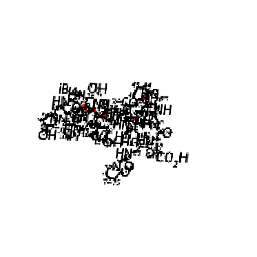 CC[C@H](C)[C@H](NC(=O)[C@H](CO)NC(=O)[C@H](Cc1ccc(O)cc1)NC(=O)[C@H](CC(=O)O)NC(=O)[C@H](CO)NC(=O)[C@@H](NC(=O)[C@H](Cc1ccccc1)NC(=O)[C@@H](NC(=O)CNC(=O)[C@H](CCC(=O)O)NC(=O)CCNC(=O)CN1CCCCC1=O)[C@@H](C)O)[C@@H](C)O)C(=O)N[C@@H](Cc1ccc(O)cc1)C(=O)N[C@@H](CC(C)C)C(=O)N[C@@H](CC(=O)O)C(=O)N[C@H](C)CCCCN